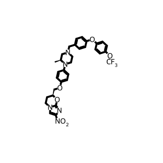 C[C@H]1CN(Cc2ccc(Oc3ccc(OC(F)(F)F)cc3)cc2)CCN1c1ccc(OC[C@@H]2CCn3cc([N+](=O)[O-])nc3O2)cc1